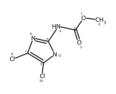 COC(=O)NC1=NC(Cl)=C(Cl)[N]1